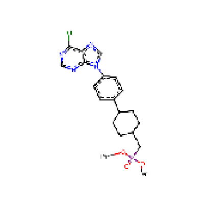 CC(C)OP(=O)(CC1CCC(c2ccc(-n3cnc4c(Cl)ncnc43)cc2)CC1)OC(C)C